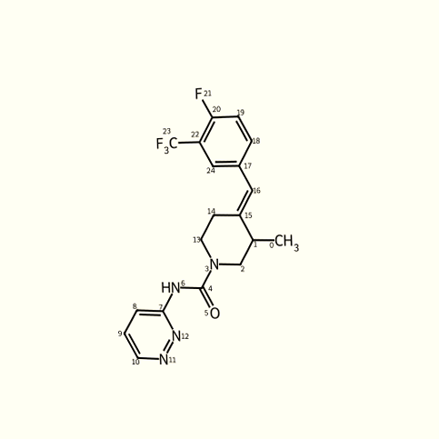 CC1CN(C(=O)Nc2cccnn2)CC/C1=C\c1ccc(F)c(C(F)(F)F)c1